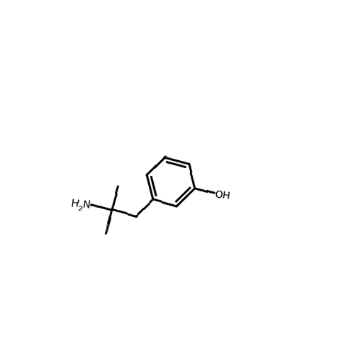 CC(C)(N)Cc1cccc(O)c1